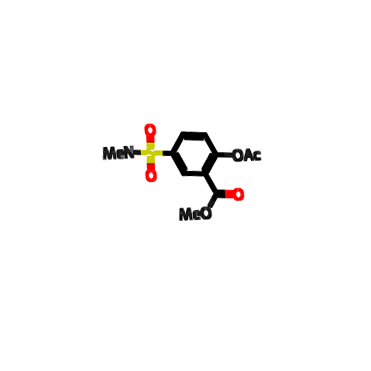 CNS(=O)(=O)c1ccc(OC(C)=O)c(C(=O)OC)c1